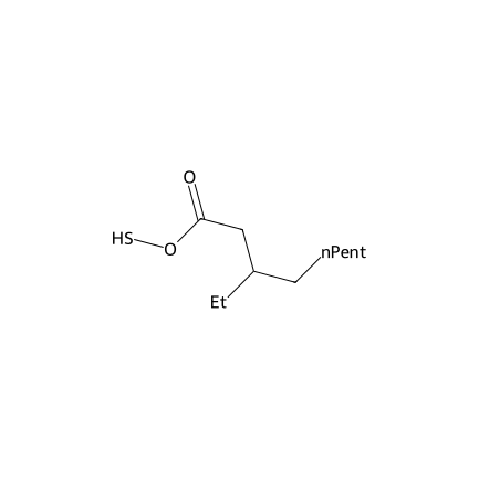 CCCCCCC(CC)CC(=O)OS